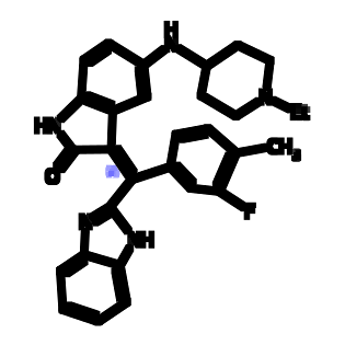 CCN1CCC(Nc2ccc3c(c2)/C(=C(\c2ccc(C)c(F)c2)c2nc4ccccc4[nH]2)C(=O)N3)CC1